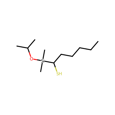 CCCCCC(S)[Si](C)(C)OC(C)C